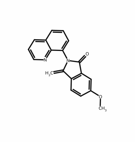 C=C1c2ccc(OC)cc2C(=O)N1c1cccc2cccnc12